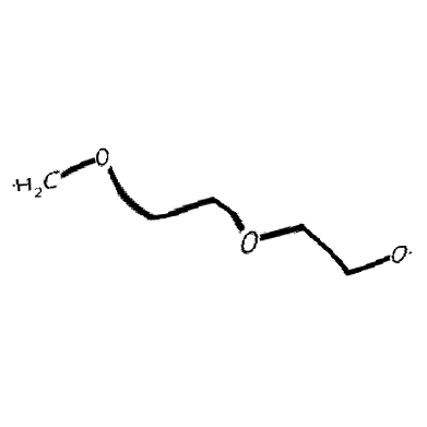 [CH2]OCCOCC[O]